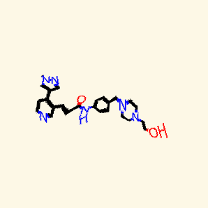 Cn1cc(-c2ccncc2/C=C/C(=O)Nc2ccc(CN3CCN(CCO)CC3)cc2)cn1